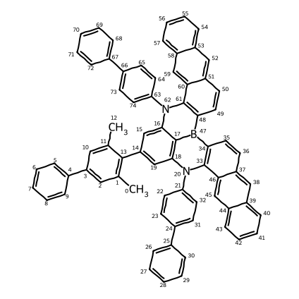 Cc1cc(-c2ccccc2)cc(C)c1-c1cc2c3c(c1)N(c1ccc(-c4ccccc4)cc1)c1c(ccc4cc5ccccc5cc14)B3c1ccc3cc4ccccc4cc3c1N2c1ccc(-c2ccccc2)cc1